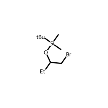 CCC(CBr)O[Si](C)(C)C(C)(C)C